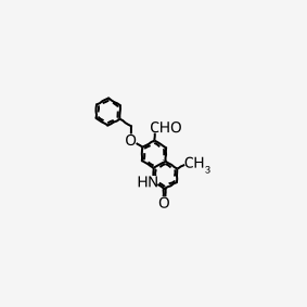 Cc1cc(=O)[nH]c2cc(OCc3ccccc3)c(C=O)cc12